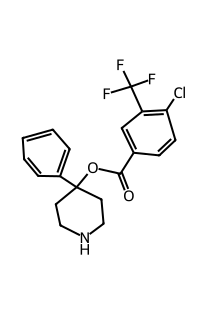 O=C(OC1(c2ccccc2)CCNCC1)c1ccc(Cl)c(C(F)(F)F)c1